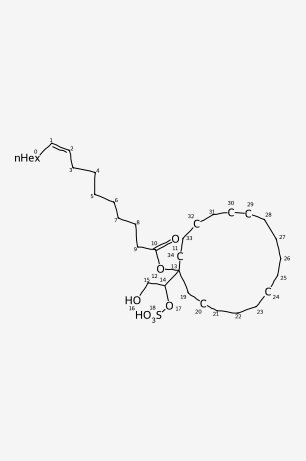 CCCCCC/C=C\CCCCCCCC(=O)OC1(C(CO)OS(=O)(=O)O)CCCCCCCCCCCCCCCC1